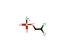 O=S(=O)(OCC(Cl)Cl)C(F)(F)F